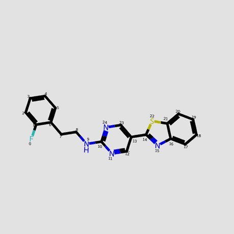 Fc1ccccc1CCNc1n[c]c(-c2nc3ccccc3s2)cn1